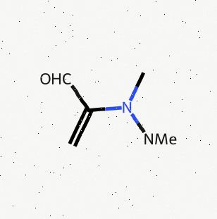 C=C(C=O)N(C)NC